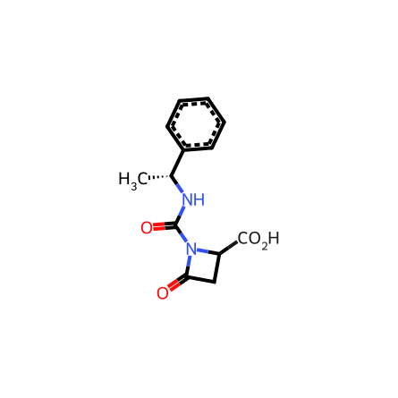 C[C@@H](NC(=O)N1C(=O)CC1C(=O)O)c1ccccc1